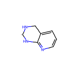 [C]1NCc2cccnc2N1